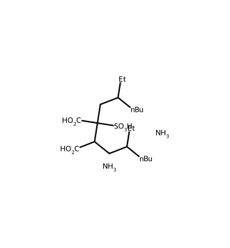 CCCCC(CC)CC(C(=O)O)C(CC(CC)CCCC)(C(=O)O)S(=O)(=O)O.N.N